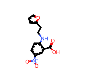 O=C(O)c1cc([N+](=O)[O-])ccc1NCCc1ccco1